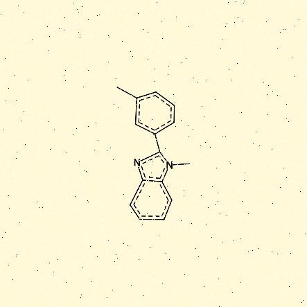 Cc1cccc(-c2nc3ccccc3n2C)c1